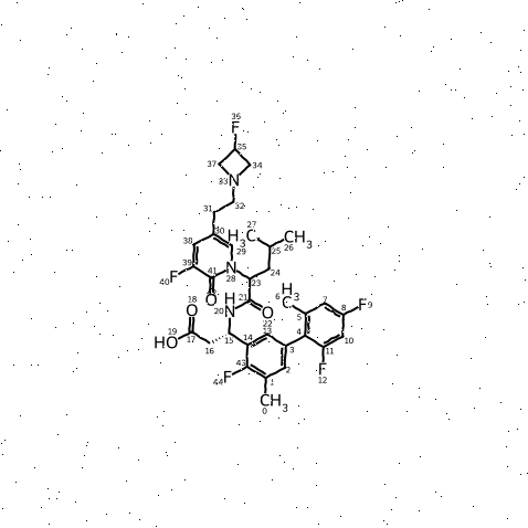 Cc1cc(-c2c(C)cc(F)cc2F)cc([C@H](CC(=O)O)NC(=O)C(CC(C)C)n2cc(CCN3CC(F)C3)cc(F)c2=O)c1F